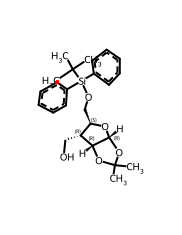 CC1(C)O[C@H]2O[C@H](CO[Si](c3ccccc3)(c3ccccc3)C(C)(C)C)[C@@H](CO)[C@H]2O1